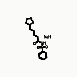 O=C(CCCCC1CCSS1)NS(=O)(=O)c1ccccc1.[NaH]